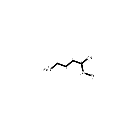 CCCCCCCCC(C#N)OCC